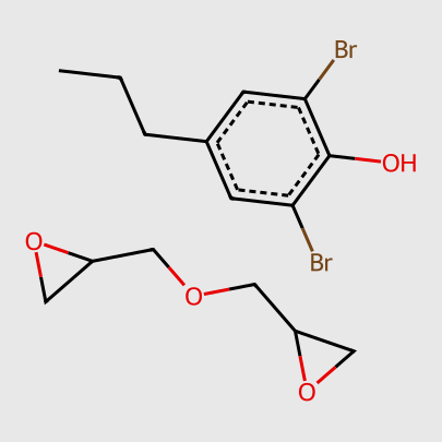 C(OCC1CO1)C1CO1.CCCc1cc(Br)c(O)c(Br)c1